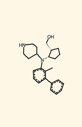 Cc1c(-c2ccccc2)cccc1N(C1CCNCC1)[C@H]1CCC[C@H]1CO